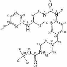 CN(C(=O)N1CCC(Nc2cccc(F)c2)CC1)c1ccc(CN2CCN(C(=O)OC(C)(C)C)CC2)cc1